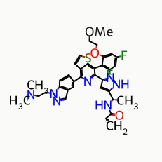 C=CC(=O)N[C@H](C)c1cc(-c2nc(-c3ccc4c(cnn4CCN(C)C)c3)c3ccsc3c2-c2c(F)cc(F)cc2OCCOC)n[nH]1